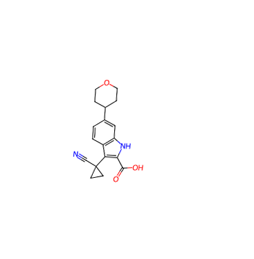 N#CC1(c2c(C(=O)O)[nH]c3cc(C4CCOCC4)ccc23)CC1